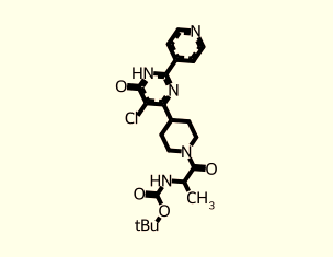 CC(NC(=O)OC(C)(C)C)C(=O)N1CCC(c2nc(-c3ccncc3)[nH]c(=O)c2Cl)CC1